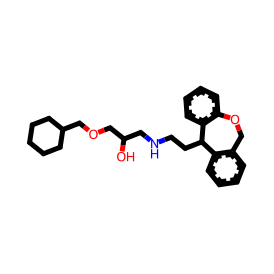 OC(CNCCC1c2ccccc2COc2ccccc21)COCC1CCCCC1